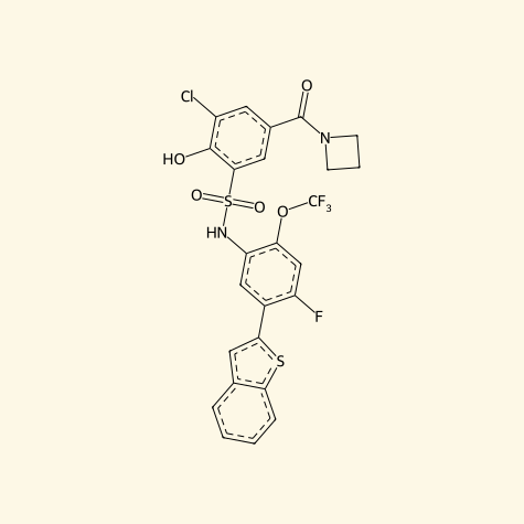 O=C(c1cc(Cl)c(O)c(S(=O)(=O)Nc2cc(-c3cc4ccccc4s3)c(F)cc2OC(F)(F)F)c1)N1CCC1